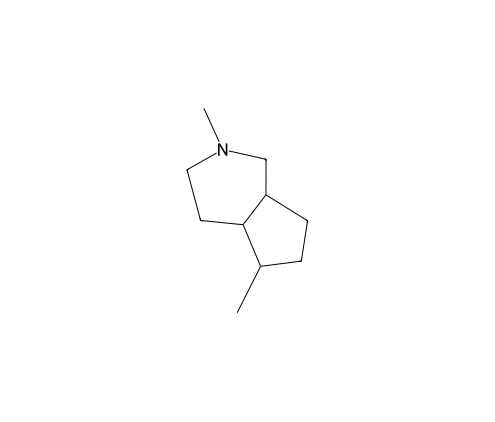 CC1CCC2CN(C)CCC12